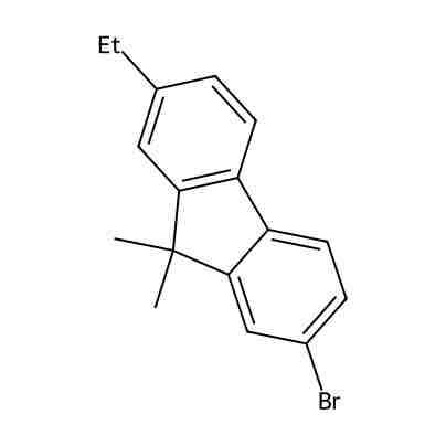 CCc1ccc2c(c1)C(C)(C)c1cc(Br)ccc1-2